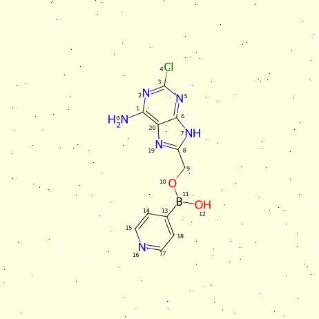 Nc1nc(Cl)nc2[nH]c(COB(O)c3ccncc3)nc12